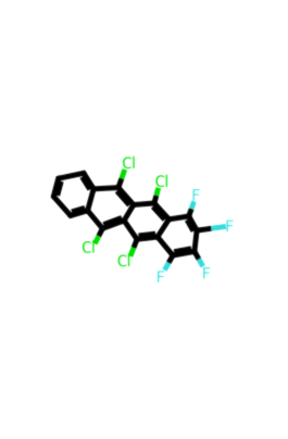 Fc1c(F)c(F)c2c(Cl)c3c(Cl)c4ccccc4c(Cl)c3c(Cl)c2c1F